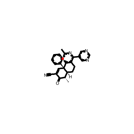 Cc1nc(-c2cncnc2)c2c(n1)[C@@]1(c3ccccc3)C=C(C#N)C(=O)[C@@H](C)[C@@H]1CC2